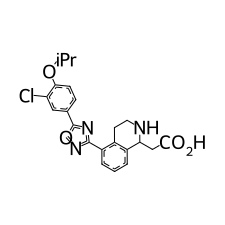 CC(C)Oc1ccc(-c2nc(-c3cccc4c3CCNC4CC(=O)O)no2)cc1Cl